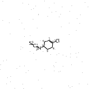 S=C=NC1CC=C(Cl)CC1